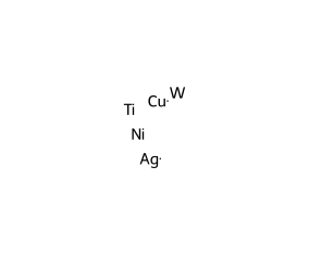 [Ag].[Cu].[Ni].[Ti].[W]